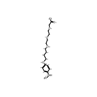 CCC(=O)COCCOCCOCCCCOc1ccc(NC(C)C)cc1